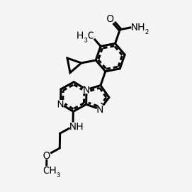 COCCNc1nccn2c(-c3ccc(C(N)=O)c(C)c3C3CC3)cnc12